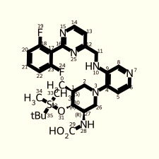 C[C@H]1CN(c2ccncc2NCc2ccnc(-c3c(F)cccc3F)n2)C[C@@H](NC(=O)O)[C@@H]1O[Si](C)(C)C(C)(C)C